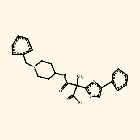 CCC(=O)C(C)(C(=O)NC1CCN(Cc2ccccc2)CC1)c1nc(-c2ccccc2)cs1